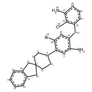 Nc1nc(N2CCC3(CC2)Cc2ccccc2C3)c(Br)nc1Sc1ccnc(N)c1Cl